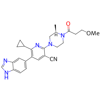 COCCC(=O)N1CCN(c2nc(C3CC3)c(-c3ccc4[nH]cnc4c3)cc2C#N)C[C@H]1C